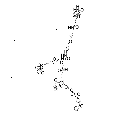 CCC1(C)CC(=O)C(=C(CCCCC(=O)NCCCC[C@H](NC(=O)CCC(=O)NCCCCCC(=O)ON2C(=O)CCC2=O)C(=O)NCCCOCCOCCOCCCNC(=O)CCCC[C@@H]2SC[C@@H]3NC(=O)N[C@@H]32)NCCOCCOCCNC(=O)c2ccc(C(=O)c3ccccc3)cc2)C(=O)C1